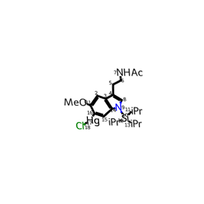 COc1cc2c(CCNC(C)=O)cn([Si](C(C)C)(C(C)C)C(C)C)c2c[c]1[Hg][Cl]